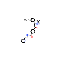 COc1ccc2c(c1)C(=CC(=O)c1ccc(C(=O)NCCc3ccccn3)cc1)NC(C)(C)C2